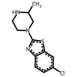 CC1CN(c2nc3ccc(Cl)cc3s2)CCN1